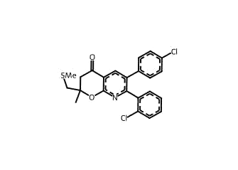 CSCC1(C)CC(=O)c2cc(-c3ccc(Cl)cc3)c(-c3ccccc3Cl)nc2O1